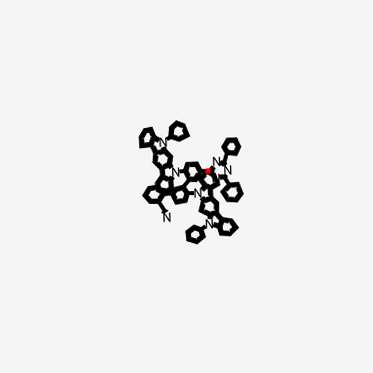 N#Cc1ccccc1-c1ccc(-n2c3ccccc3c3cc4c5ccccc5n(-c5ccccc5)c4cc32)c(-c2cc(-c3nc(-c4ccccc4)nc(-c4ccccc4)n3)ccc2-n2c3ccccc3c3cc4c5ccccc5n(-c5ccccc5)c4cc32)c1